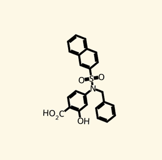 O=C(O)c1ccc(N(Cc2ccccc2)S(=O)(=O)c2ccc3ccccc3c2)cc1O